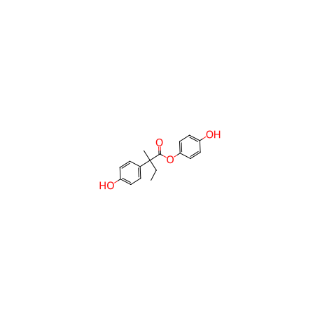 CCC(C)(C(=O)Oc1ccc(O)cc1)c1ccc(O)cc1